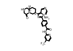 N[N+]12C=CN=CC1=C([C@@H]1CC[C@H]3CNCC(=O)N3C1)N=C2c1ccc(C(=O)Nc2cc(C(F)(F)F)ccn2)cc1